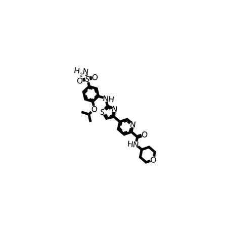 CC(C)Oc1ccc(S(N)(=O)=O)cc1Nc1nc(-c2ccc(C(=O)NC3CCOCC3)nc2)cs1